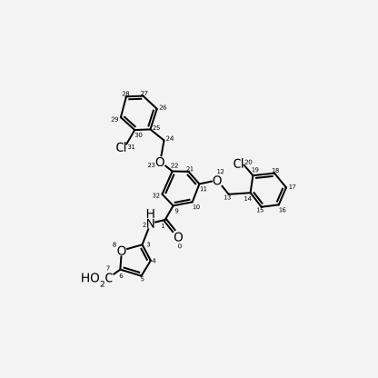 O=C(Nc1ccc(C(=O)O)o1)c1cc(OCc2ccccc2Cl)cc(OCc2ccccc2Cl)c1